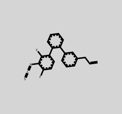 C=CCc1cccc(-c2ccccc2-c2ccc(F)c(N=C=S)c2F)c1